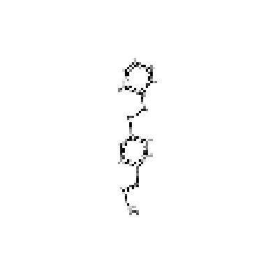 O=[N+]([O-])C=Cc1ccc(OCc2ccccn2)cc1